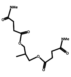 CNC(=O)CCC(=O)OCC(C)COC(=O)CCC(=O)NC